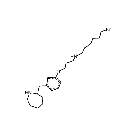 BrCCCCCCNCCCOc1cccc(CC2CCCCCN2)c1